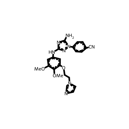 COc1cc(Nc2nc(N)n(-c3ccc(C#N)cc3)n2)cc(OCCn2ccnc2)c1OC